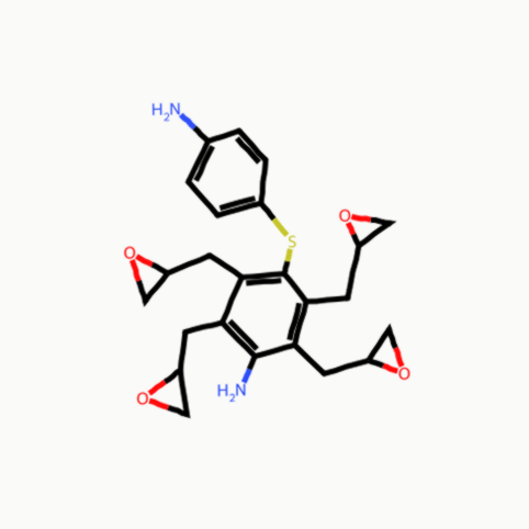 Nc1ccc(Sc2c(CC3CO3)c(CC3CO3)c(N)c(CC3CO3)c2CC2CO2)cc1